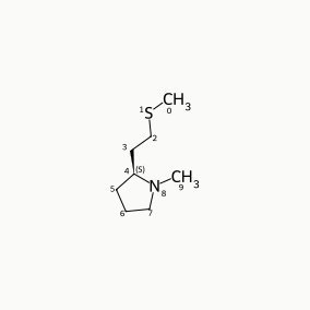 CSCC[C@@H]1CCCN1C